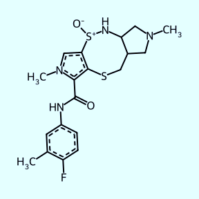 Cc1cc(NC(=O)c2c3c(cn2C)[S+]([O-])NC2CN(C)CC2CS3)ccc1F